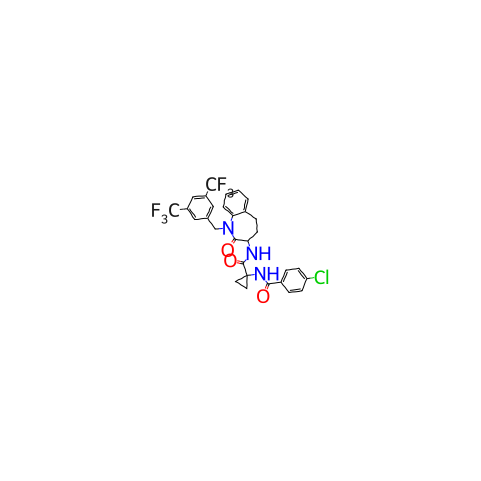 O=C(NC1(C(=O)NC2CCc3ccccc3N(Cc3cc(C(F)(F)F)cc(C(F)(F)F)c3)C2=O)CC1)c1ccc(Cl)cc1